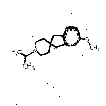 COc1ccc2c(c1)CC1(CCN(C(C)C)CC1)C2